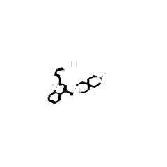 CC(=O)N1CCC2(CC1)CCN(C(=O)c1cc(-c3ccc(C)o3)nc3ccccc13)CC2